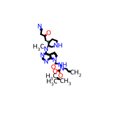 C=CCN(NC(=O)n1ccc2c(N(C)[C@H]3CNCC[C@@H]3CC(=O)CC#N)ncnc21)C(=O)OC(C)(C)C